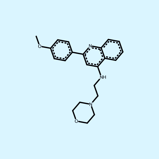 COc1ccc(-c2cc(NCCN3CCOCC3)c3ccccc3n2)cc1